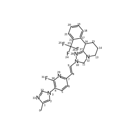 Cc1cn(-c2ccc(/C=C/N3CN4CCCC(c5ccccc5C(F)(F)F)C4=N3)nc2F)cn1